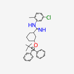 Cc1ccc(Cl)cc1NC(=N)C1CCCC(O[Si](c2ccccc2)(c2ccccc2)C(C)(C)C)C1